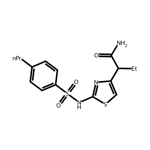 CCCc1ccc(S(=O)(=O)Nc2nc(C(CC)C(N)=O)cs2)cc1